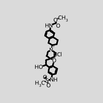 COC(=O)Nc1ccc2c(c1)CC[C@@H](N1CCC3(CC1)CC(O)c1cc(NS(C)(=O)=O)ccc1O3)C2.Cl